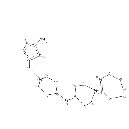 Nc1ncc(CN2CCC(OC3CCN(C4=NCCCCC4)CC3)CC2)s1